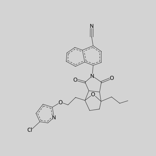 CCCC12CCC(CCOc3ccc(Cl)cn3)(O1)C1C(=O)N(c3ccc(C#N)c4ccccc34)C(=O)C12